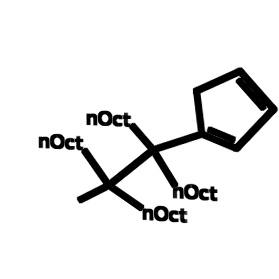 CCCCCCCCC(C)(CCCCCCCC)C(CCCCCCCC)(CCCCCCCC)C1=CC=CC1